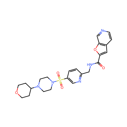 O=C(NCc1ccc(S(=O)(=O)N2CCN(C3CCOCC3)CC2)cn1)c1cc2ccncc2o1